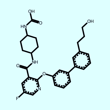 O=C(O)NC1CCC(NC(=O)c2cc(F)cnc2Oc2cccc(-c3cccc(CCCO)c3)c2)CC1